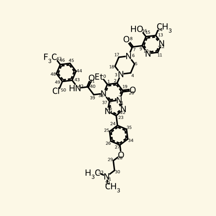 CCc1c(N2CCN(C(=O)c3ncnc(C)c3O)CC2)c(=O)n2nc(-c3ccc(OCCN(C)C)cc3)nc2n1CC(=O)Nc1ccc(C(F)(F)F)cc1Cl